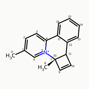 Cc1ccc2[n+](c1)[C@@]1(C)C=CC1c1ccccc1-2